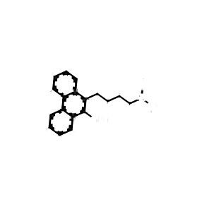 CCCCc1c(CCCCN(C(F)(F)F)C(F)(F)F)c2ccccc2c2ccccc12